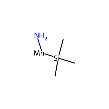 C[Si](C)(C)[Mn][NH2]